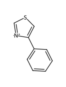 C1=[N+]C(c2ccccc2)=CS1